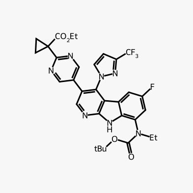 CCOC(=O)C1(c2ncc(-c3cnc4[nH]c5c(N(CC)C(=O)OC(C)(C)C)cc(F)cc5c4c3-n3ccc(C(F)(F)F)n3)cn2)CC1